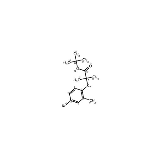 Cc1cc(Br)ccc1SC(C)(C)C(=O)OC(C)(C)C